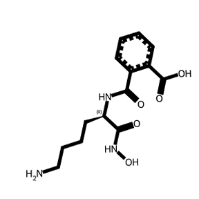 NCCCC[C@@H](NC(=O)c1ccccc1C(=O)O)C(=O)NO